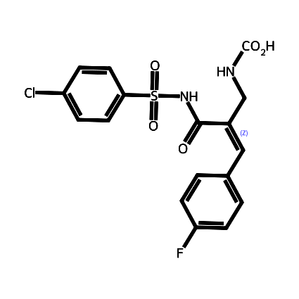 O=C(O)NC/C(=C/c1ccc(F)cc1)C(=O)NS(=O)(=O)c1ccc(Cl)cc1